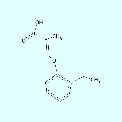 CCc1ccccc1O/C=C(\C)C(=O)O